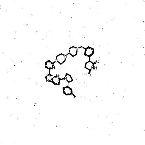 O=C1CCC(c2cccc(CN3CCC(N4CCN(c5cccc(-c6cnc7ccc(N8CCC[C@@H]8c8cccc(F)c8)nn67)n5)CC4)CC3)c2)C(=O)N1